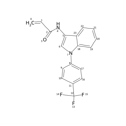 C=CC(=O)Nc1cn(-c2ccc(C(F)(F)F)cc2)c2ccccc12